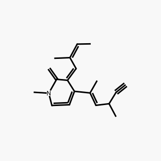 C#CC(C)/C=C(\C)C1=C=CN(C)C(=C)/C1=C\C(C)=C/C